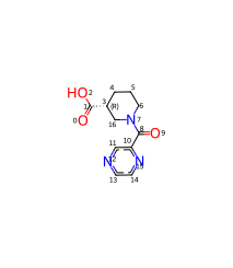 O=C(O)[C@@H]1CCCN(C(=O)c2cnccn2)C1